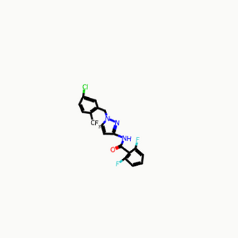 O=C(Nc1ccn(Cc2cc(Cl)ccc2C(F)(F)F)n1)c1c(F)cccc1F